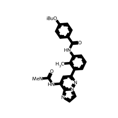 CNC(=O)Nc1cc(-c2cccc(NC(=O)c3ccc(OCC(C)C)cc3)c2C)nn2ccnc12